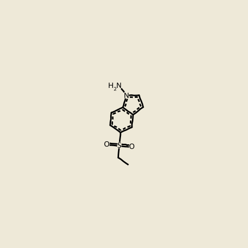 CCS(=O)(=O)c1ccc2c(ccn2N)c1